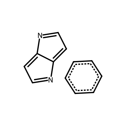 C1=NC2=CC=NC2=C1.c1ccccc1